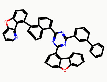 c1ccc(-c2cccc(-c3nc(-c4cccc5c(-c6cccc7oc8cccnc8c67)cccc45)nc(-c4cccc5oc6ccccc6c45)n3)c2)cc1